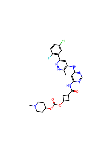 Cc1nnc(-c2cc(Cl)ccc2F)cc1Nc1cc(NC(=O)C2CC(OC(=O)OC3CCN(C)CC3)C2)ncn1